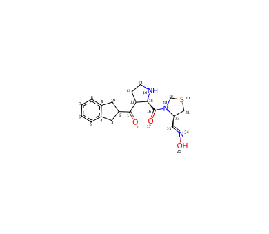 O=C(C1Cc2ccccc2C1)C1CCN[C@H]1C(=O)N1CSC[C@H]1C=NO